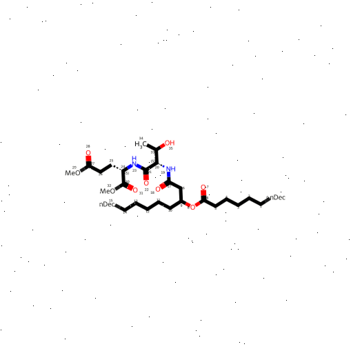 CCCCCCCCCCCCCCCC(=O)OC(CCCCCCCCCCCCCCC)CC(=O)N[C@H](C(=O)N[C@@H](CCC(=O)OC)C(=O)OC)C(C)O